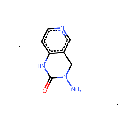 NN1Cc2cnccc2NC1=O